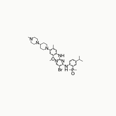 COc1cc(N2CCC(N3CCN(C)CC3)CC2)c(C)cc1Nc1ncc(Br)c(Nc2ccc(C(C)C)cc2P(C)(C)=O)n1